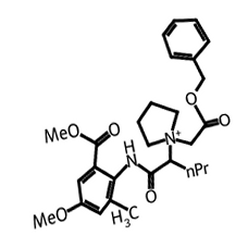 CCCC(C(=O)Nc1c(C)cc(OC)cc1C(=O)OC)[N+]1(CC(=O)OCc2ccccc2)CCCC1